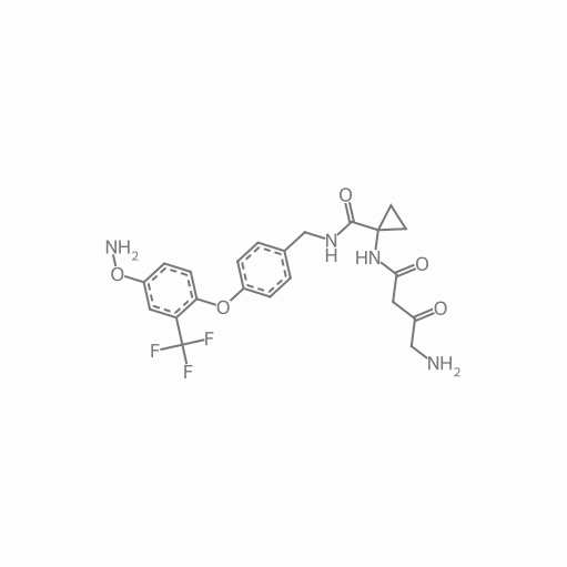 NCC(=O)CC(=O)NC1(C(=O)NCc2ccc(Oc3ccc(ON)cc3C(F)(F)F)cc2)CC1